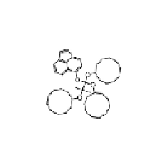 CC(C)(OC1CCCCCCCCC1)C(Oc1ccc2c3c(cccc13)C=C2)(OC1CCCCCCCCC1)OC1CCCCCCCCC1